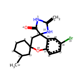 C=C1NC(=O)C2(CC3(CCCC(C)C3)Oc3ccc(Br)cc32)N1